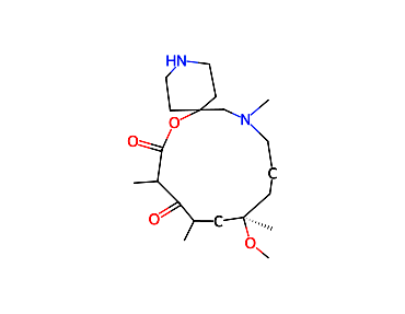 CO[C@]1(C)CCCN(C)CC2(CCNCC2)OC(=O)C(C)C(=O)C(C)C1